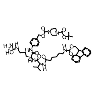 CC(C)C(NC(=O)CCCCCNC(=O)OCC1c2ccccc2-c2ccccc21)C(=O)N[C@@H](CCCN[C@@H](N)O)C(=O)Nc1ccc(COC(=O)N2CCN(C(=O)OC(C)(C)C)CC2)cc1